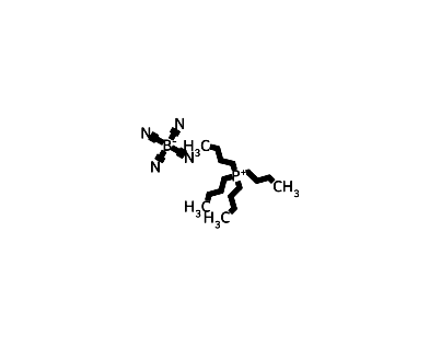 CCCC[P+](CCCC)(CCCC)CCCC.N#C[B-](C#N)(C#N)C#N